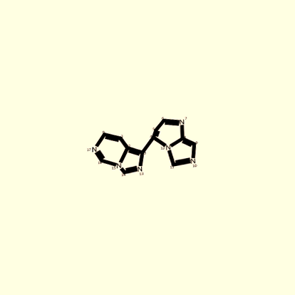 c1cc2c(-c3ccnc4cncn34)ncn2cn1